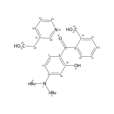 CCCCN(CCCC)c1ccc(C(=O)c2ccccc2C(=O)O)c(O)c1.O=C(O)Cc1cccnc1